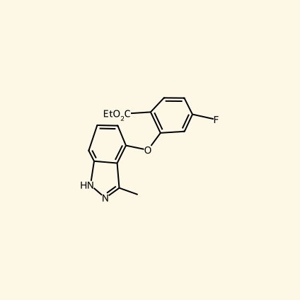 CCOC(=O)c1ccc(F)cc1Oc1cccc2[nH]nc(C)c12